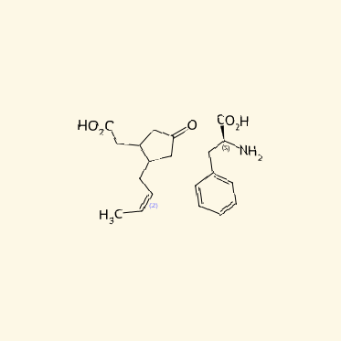 C/C=C\CC1CC(=O)CC1CC(=O)O.N[C@@H](Cc1ccccc1)C(=O)O